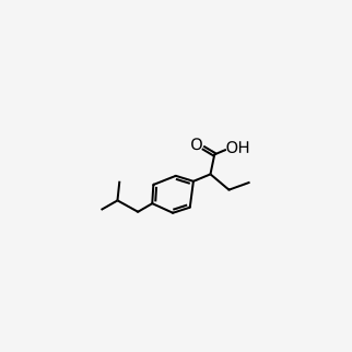 CCC(C(=O)O)c1ccc(CC(C)C)cc1